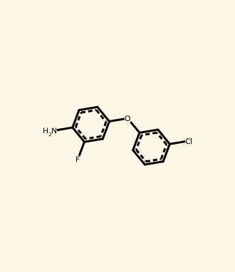 Nc1ccc(Oc2cccc(Cl)c2)cc1F